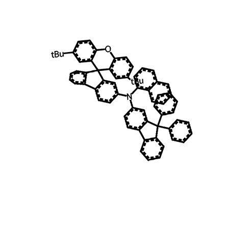 CC(C)(C)c1ccc2c(c1)C1(c3cc(C(C)(C)C)ccc3O2)c2ccccc2-c2ccc(N(c3ccc4c(c3)C(c3ccccc3)(c3ccccc3)c3ccccc3-4)c3cccc4ccccc34)cc21